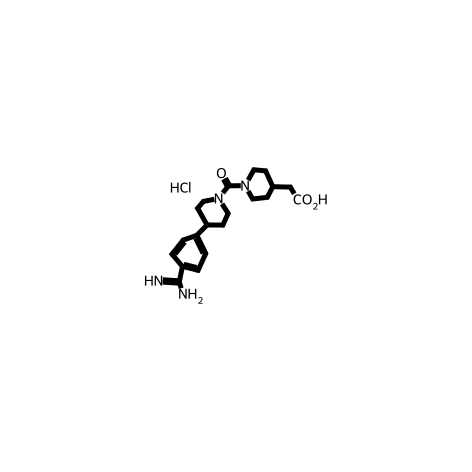 Cl.N=C(N)c1ccc(C2CCN(C(=O)N3CCC(CC(=O)O)CC3)CC2)cc1